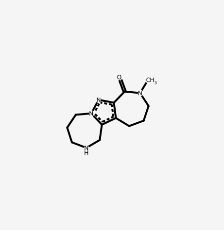 CN1CCCc2c(nn3c2CNCCC3)C1=O